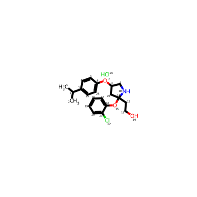 CC(C)c1ccc(OC2CNC(CCO)(Oc3ccccc3Cl)C2)cc1.Cl